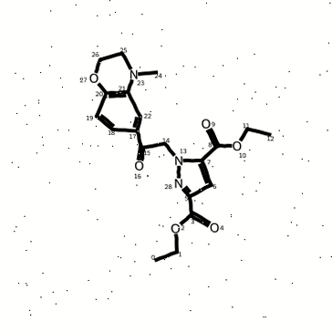 CCOC(=O)c1cc(C(=O)OCC)n(CC(=O)c2ccc3c(c2)N(C)CCO3)n1